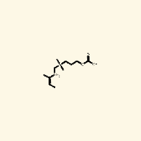 CC=C(C)[SiH2]C[Si](C)(C)CCCOC(=O)O